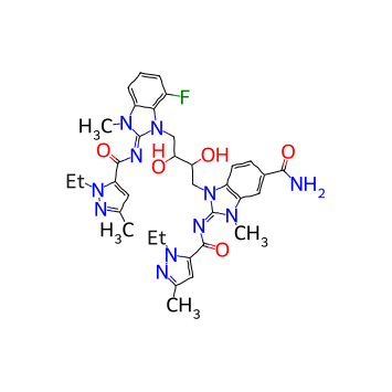 CCn1nc(C)cc1C(=O)/N=c1\n(C)c2cc(C(N)=O)ccc2n1CC(O)C(O)Cn1/c(=N/C(=O)c2cc(C)nn2CC)n(C)c2cccc(F)c21